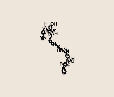 Cc1ncsc1-c1ccc([C@H](C)NC(=O)[C@@H]2C[C@@H](O)CN2C(=O)[C@@H](NC(=O)CCN2CC[C@@]3(CCN(CCOCCNc4cc(N5CCC6(CC5)CN(c5cc(F)c(CN7CCC(C)(C)CC7)cc5F)CC(=O)N6)ncn4)C3)C2)C(C)(C)C)cc1